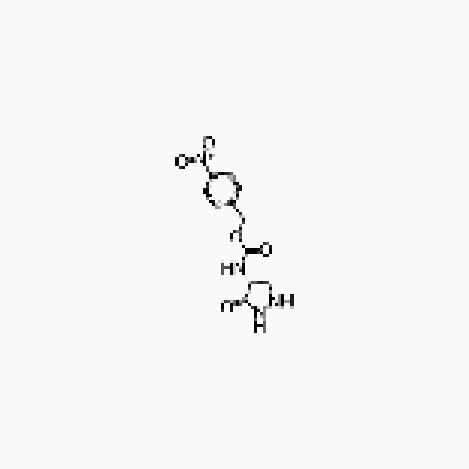 O=C(N[C@@H]1CNNC1=O)OCc1ccc([N+](=O)[O-])cc1